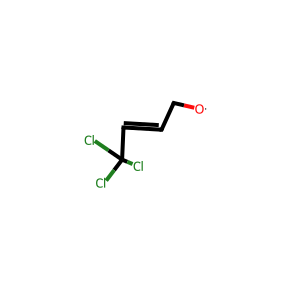 [O]CC=CC(Cl)(Cl)Cl